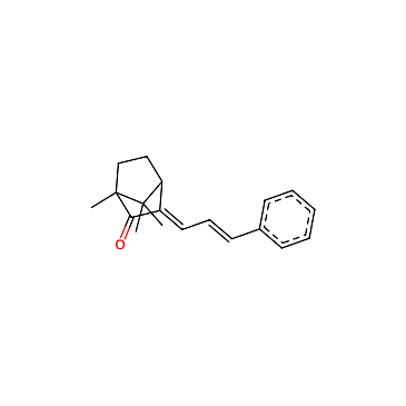 CC12CCC(C(=CC=Cc3ccccc3)C1=O)C2(C)C